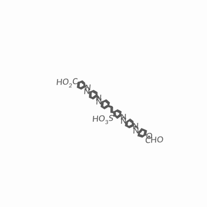 O=COc1ccc(N=Nc2ccc(N=Nc3ccc(C=Cc4ccc(N=Nc5ccc(N=Nc6ccc(C(=O)O)cc6)cc5)cc4)c(S(=O)(=O)O)c3)cc2)cc1